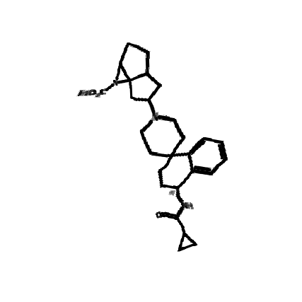 CCOC(=O)N1C2CCC3CC(N4CCC5(CC[C@H](NC(=O)C6CC6)c6ccccc65)CC4)CC321